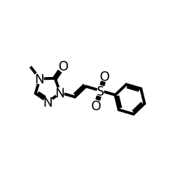 Cn1cnn(C=CS(=O)(=O)c2ccccc2)c1=O